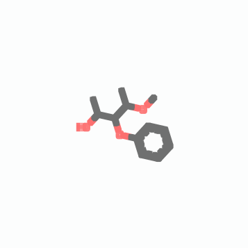 COC(C)C(Oc1ccccc1)C(C)O